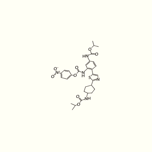 CC(C)OC(=O)Nc1ccc(-c2cnc(C3CCC(NC(=O)OC(C)C)CC3)s2)c(NC(=O)Oc2ccc([N+](=O)[O-])cc2)c1